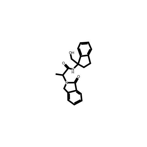 CC(C(=O)NC1(CO)CCc2ccccc21)N1Cc2ccccc2C1=O